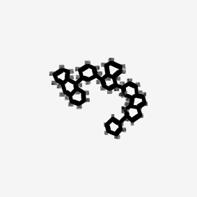 c1ccc(-c2ccc3ccc4ccc(-c5ccc(-c6cccc(-c7c8ccccc8cc8ccccc78)c6)c6ccccc56)nc4c3n2)cc1